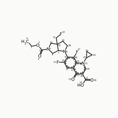 CCOC(=O)N1CC2N(c3c(F)cc4c(=O)c(C(=O)O)cn(C5CC5)c4c3F)CCC2(CF)C1